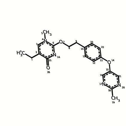 CCc1cn(C)c(OCCc2ccc(Oc3cnc(C)nc3)cc2)nc1=O